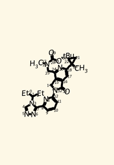 CCC(CC)n1cnnc1-c1cccc(N2Cc3c(cc(C4(C)CC4)nc3CN(C)C(=O)OC(C)(C)C)C2=O)n1